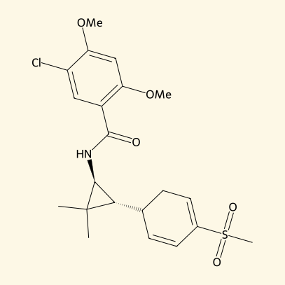 COc1cc(OC)c(C(=O)N[C@H]2[C@H](C3C=CC(S(C)(=O)=O)=CC3)C2(C)C)cc1Cl